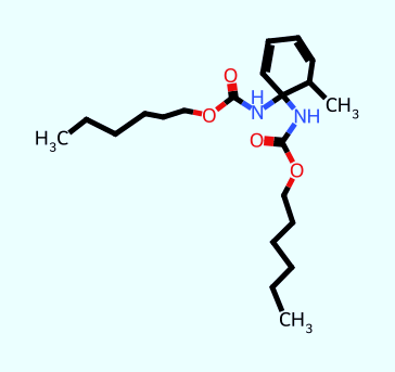 CCCCCCOC(=O)NC1(NC(=O)OCCCCCC)C=CC=CC1C